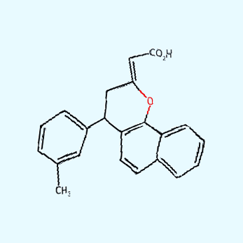 Cc1cccc(C2CC(=CC(=O)O)Oc3c2ccc2ccccc32)c1